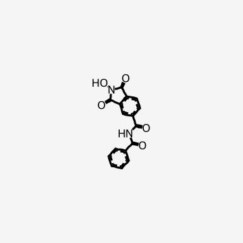 O=C(NC(=O)c1ccc2c(c1)C(=O)N(O)C2=O)c1ccccc1